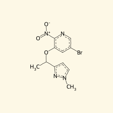 CC(Oc1cc(Br)cnc1[N+](=O)[O-])c1ccn(C)n1